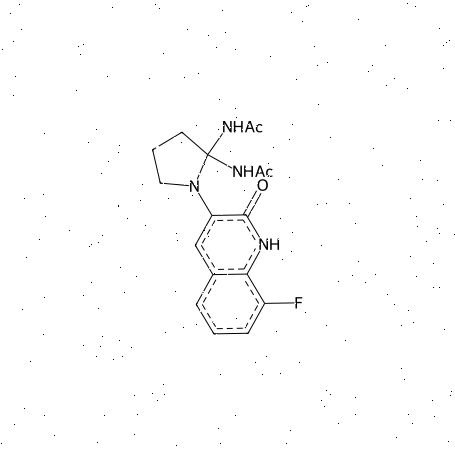 CC(=O)NC1(NC(C)=O)CCCN1c1cc2cccc(F)c2[nH]c1=O